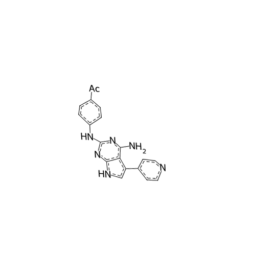 CC(=O)c1ccc(Nc2nc(N)c3c(-c4ccncc4)c[nH]c3n2)cc1